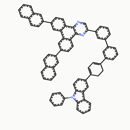 C1=C(c2cccc(-c3cccc(-c4cnc5c6ccc(-c7ccc8ccccc8c7)cc6c6cc(-c7ccc8ccccc8c7)ccc6c5n4)c3)c2)CCC(c2ccc3c(c2)c2ccccc2n3-c2ccccc2)=C1